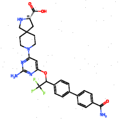 NC(=O)c1ccc(-c2ccc(C(Oc3cc(N4CCC5(CC4)CN[C@H](C(=O)O)C5)nc(N)n3)C(F)(F)F)cc2)cc1